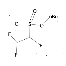 CCCCOS(=O)(=O)C(F)C(F)F